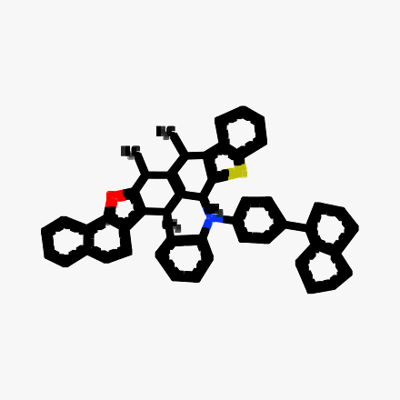 CC1C2=C3C(C)(c4ccccc4N(c4ccc(-c5cccc6ccccc56)cc4)C3(C)c3sc4ccccc4c3C2C)c2c1oc1c2ccc2ccccc21